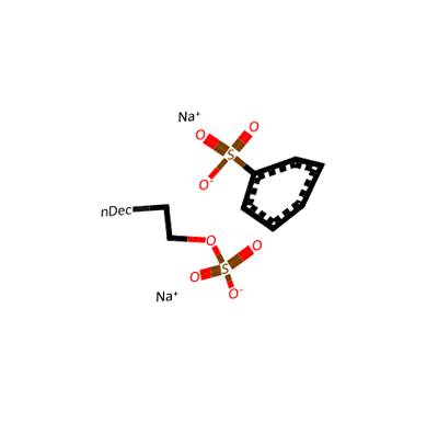 CCCCCCCCCCCCOS(=O)(=O)[O-].O=S(=O)([O-])c1ccccc1.[Na+].[Na+]